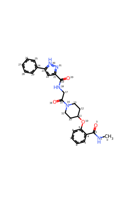 CNC(=O)c1ccccc1OC1CCN(C(=O)CNC(=O)c2cc(-c3ccccc3)[nH]n2)CC1